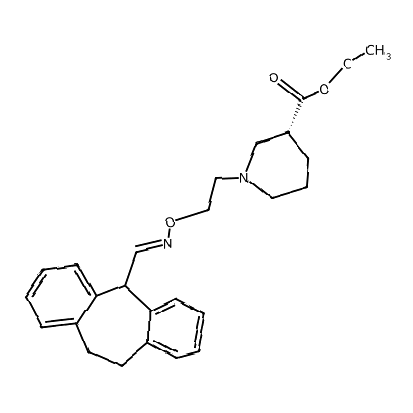 CCOC(=O)[C@@H]1CCCN(CCO/N=C/C2c3ccccc3CCc3ccccc32)C1